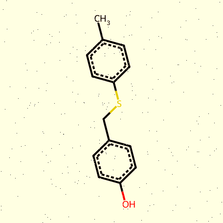 Cc1ccc(SCc2ccc(O)cc2)cc1